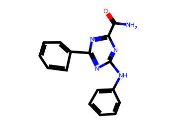 NC(=O)c1nc(Nc2ccccc2)nc(-c2ccccc2)n1